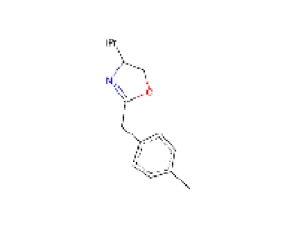 Cc1ccc(CC2=NC(C(C)C)CO2)cc1